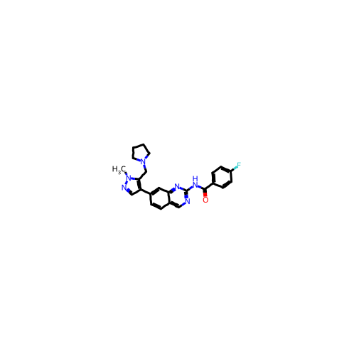 Cn1ncc(-c2ccc3cnc(NC(=O)c4ccc(F)cc4)nc3c2)c1CN1CCCC1